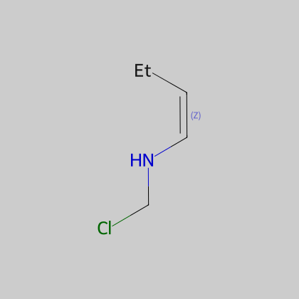 CC/C=C\NCCl